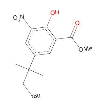 COC(=O)c1cc(C(C)(C)CC(C)(C)C)cc([N+](=O)[O-])c1O